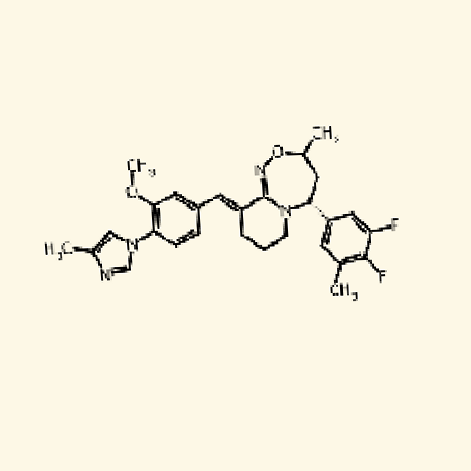 COc1cc(/C=C2\CCCN3C2=NOC(C)C[C@@H]3c2cc(C)c(F)c(F)c2)ccc1-n1cnc(C)c1